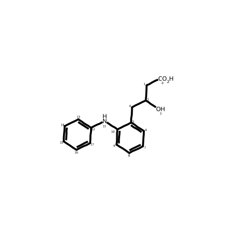 O=C(O)CC(O)Cc1ccccc1Nc1ccccc1